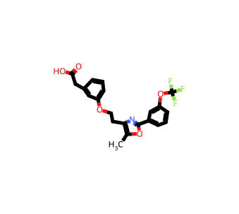 Cc1oc(-c2cccc(OC(F)(F)F)c2)nc1CCOc1cccc(CC(=O)O)c1